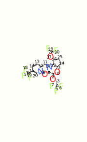 O=C(OCC(F)(F)F)C(=O)N(Cc1ccc(C(F)(F)F)cn1)[C@@H]1CCC[C@H]1OC(F)F